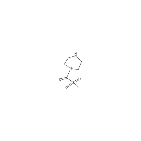 CS(=O)(=O)C(=O)N1CCNCC1